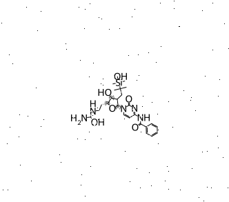 CC(C)(CC1[C@@H](O)[C@@H](CCNC(N)O)O[C@H]1n1ccc(NC(=O)c2ccccc2)nc1=O)[Si](C)(C)O